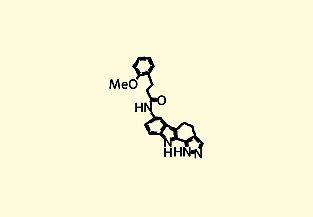 COc1ccccc1CCC(=O)Nc1ccc2[nH]c3c(c2c1)CCc1cn[nH]c1-3